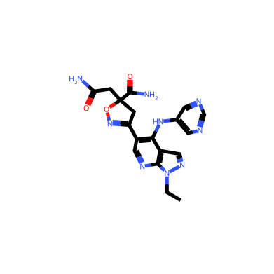 CCn1ncc2c(Nc3cncnc3)c(C3=NOC(CC(N)=O)(C(N)=O)C3)cnc21